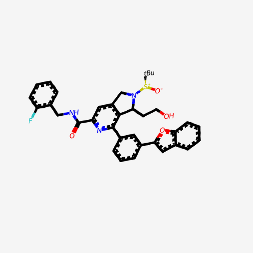 CC(C)(C)[S@@+]([O-])N1Cc2cc(C(=O)NCc3ccccc3F)nc(-c3cccc(-c4cc5ccccc5o4)c3)c2C1CCO